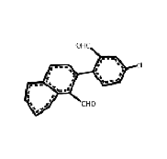 O=Cc1cc(Cl)ccc1-c1ccc2ccccc2c1C=O